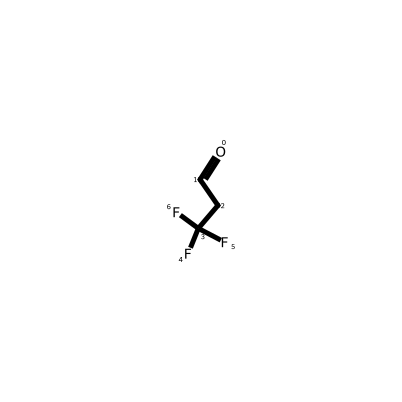 O=[C]CC(F)(F)F